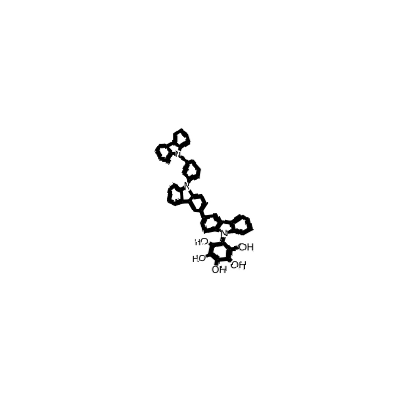 Oc1c(O)c(O)c(-n2c3ccccc3c3cc(-c4ccc5c(c4)c4ccccc4n5-c4cccc(-n5c6ccccc6c6ccccc65)c4)ccc32)c(O)c1O